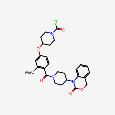 COc1cc(OC2CCN(C(=O)Cl)CC2)ccc1C(=O)N1CCC(N2C(=O)OCc3ccccc32)CC1